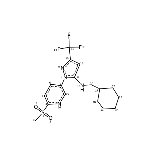 CS(=O)(=O)c1ccc(-n2nc(C(F)(F)F)cc2NCC2CCCCC2)cn1